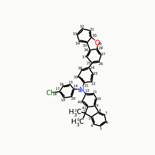 CC1(C)c2ccccc2-c2ccc(N(c3ccc(Cl)cc3)c3ccc(-c4ccc5oc6ccccc6c5c4)cc3)cc21